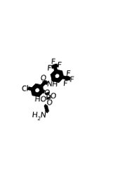 NCCOP(=O)(O)Oc1ccc(Cl)cc1C(=O)Nc1cc(C(F)(F)F)cc(C(F)(F)F)c1